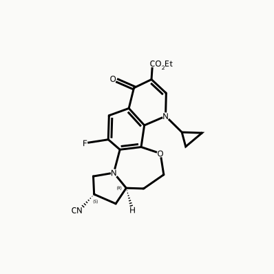 [C-]#[N+][C@H]1C[C@@H]2CCOc3c(c(F)cc4c(=O)c(C(=O)OCC)cn(C5CC5)c34)N2C1